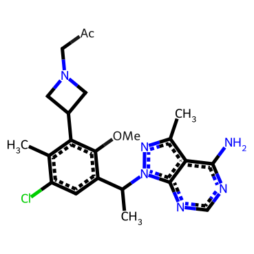 COc1c(C(C)n2nc(C)c3c(N)ncnc32)cc(Cl)c(C)c1C1CN(CC(C)=O)C1